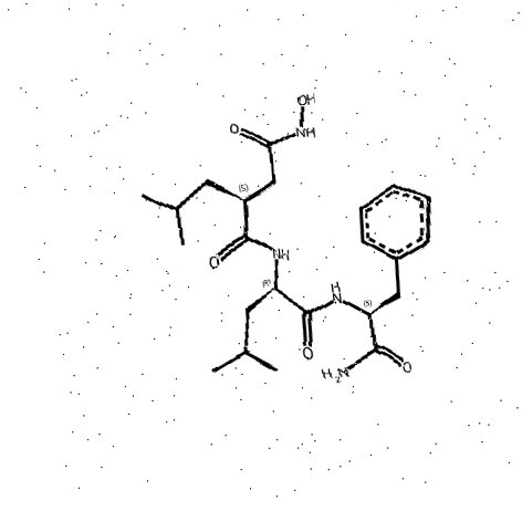 CC(C)C[C@@H](CC(=O)NO)C(=O)N[C@H](CC(C)C)C(=O)N[C@@H](Cc1ccccc1)C(N)=O